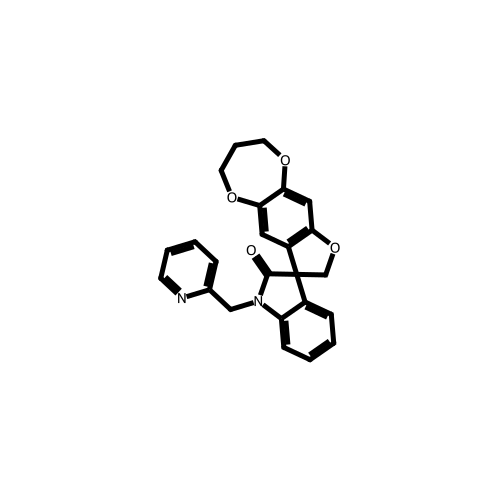 O=C1N(Cc2ccccn2)c2ccccc2C12COc1cc3c(cc12)OCCCO3